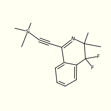 CC1(C)N=C(C#C[Si](C)(C)C)c2ccccc2C1(F)F